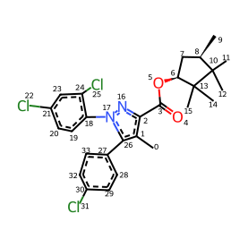 Cc1c(C(=O)O[C@H]2C[C@@H](C)C(C)(C)C2(C)C)nn(-c2ccc(Cl)cc2Cl)c1-c1ccc(Cl)cc1